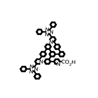 O=C(O)c1ccc(-c2ccccc2-c2cc(-c3ccccc3-c3ccc(-c4ccc(-c5nc(-c6ccccc6)nc(-c6ccccc6)n5)cn4)cc3)cc(-c3ccccc3-c3ccc(-c4ccc(-c5nc(-c6ccccc6)nc(-c6ccccc6)n5)cn4)cc3)c2)cn1